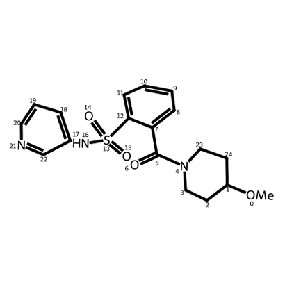 COC1CCN(C(=O)c2ccccc2S(=O)(=O)Nc2cccnc2)CC1